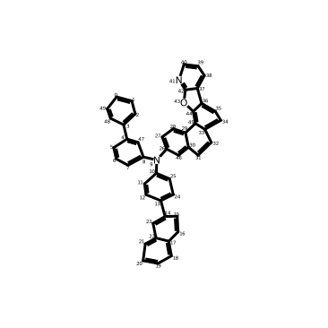 c1ccc(-c2cccc(N(c3ccc(-c4ccc5ccccc5c4)cc3)c3ccc4c(ccc5ccc6c7cccnc7oc6c54)c3)c2)cc1